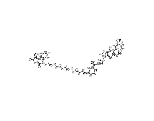 CN1C(=O)C[C@H](C(=O)NCCOCCOCCOCCOCCOc2ccnc(C(=O)NCCN3CC[C@H](Nc4ncnc5ccc(C(F)(F)F)cc45)C3=O)c2)[C@H]1c1cccnc1